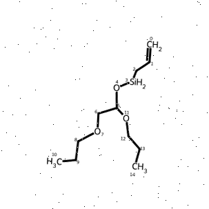 C=CC[SiH2]OC(COCCC)OCCC